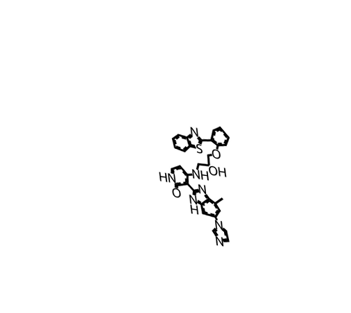 Cc1cc(-n2ccnc2)cc2[nH]c(-c3c(NCC(O)COc4ccccc4-c4nc5ccccc5s4)cc[nH]c3=O)nc12